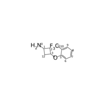 NC1CC(Oc2ccccc2C(F)(F)F)C1